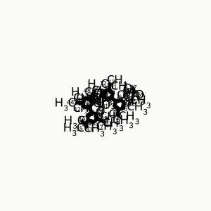 CC(C)(C)c1cc(-c2cc(C(C)(C)C)cc([Si](C)(C)C)c2Op2oc3c(C(C)(C)C)cc(C(C)(C)C)cc3c3cc(C(C)(C)C)cc(C(C)(C)C)c3o2)c(OP2OCC(=O)O2)c([Si](C)(C)C)c1